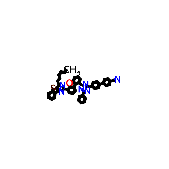 C=C/C=C\C=C\c1nc(-c2cccc3c2oc2cccc(-c4nc(-c5ccccc5)nc(-c5ccc(-c6ccc(C#N)cc6)cc5)n4)c23)nc2c1sc1ccccc12